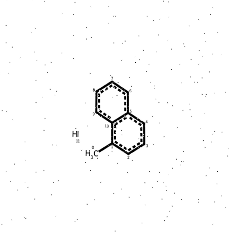 Cc1cccc2ccccc12.I